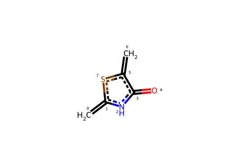 C=c1[nH]c(=O)c(=C)s1